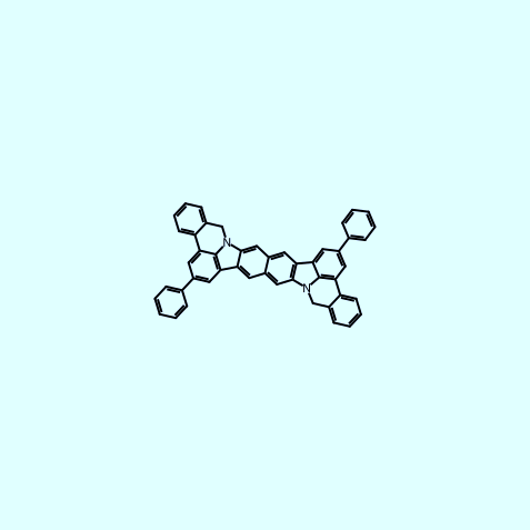 c1ccc(-c2cc3c4c(c2)c2cc5cc6c(cc5cc2n4Cc2ccccc2-3)c2cc(-c3ccccc3)cc3c2n6Cc2ccccc2-3)cc1